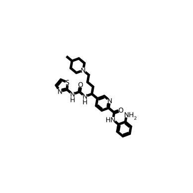 CC1CCN(CCCC(NC(=O)Nc2nccs2)c2ccc(C(=O)Nc3ccccc3N)nc2)CC1